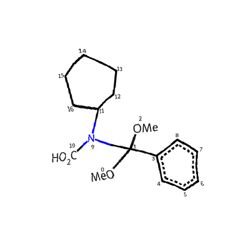 COC(OC)(c1ccccc1)N(C(=O)O)C1CCCCC1